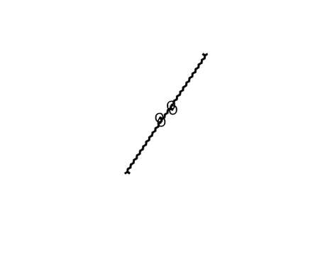 CC(C)CCCCCCCCCCCCCCCCCCCCCOC(=O)CCCCC(=O)OCCCCCCCCCCCCCCCCCCCCCC(C)C